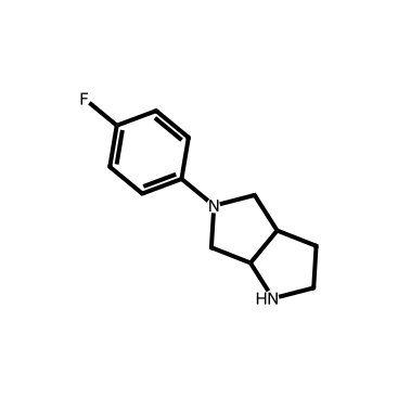 Fc1ccc(N2CC3CCNC3C2)cc1